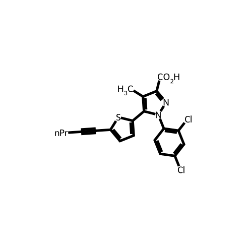 CCCC#Cc1ccc(-c2c(C)c(C(=O)O)nn2-c2ccc(Cl)cc2Cl)s1